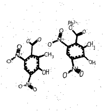 Cc1c(O)c([N+](=O)[O-])cc([N+](=O)[O-])c1C(=O)[O-].Cc1c(O)c([N+](=O)[O-])cc([N+](=O)[O-])c1C(=O)[O-].[Pb+2]